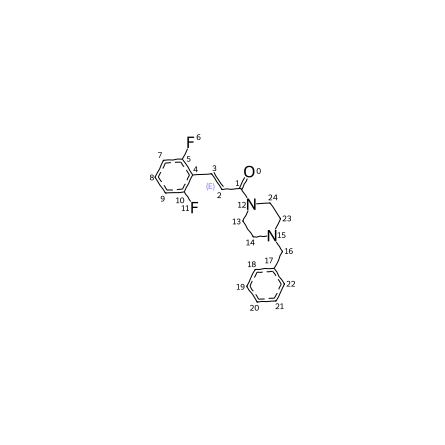 O=C(/C=C/c1c(F)cccc1F)N1CCN(Cc2ccccc2)CC1